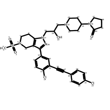 CS(=O)(=O)N1CCc2c(c(-c3ccc(Cl)c(C#Cc4ccc(Cl)cc4)c3)nn2CC(O)CN2CCC(N3CCCC3=O)CC2)C1